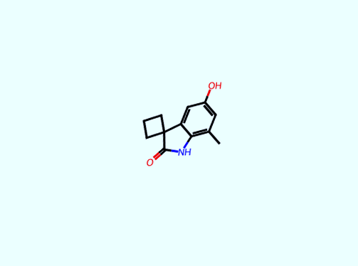 Cc1cc(O)cc2c1NC(=O)C21CCC1